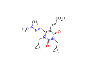 CN(C)N=Cc1c(/C=C/C(=O)O)c(=O)n(CC2CC2)c(=O)n1CC1CC1